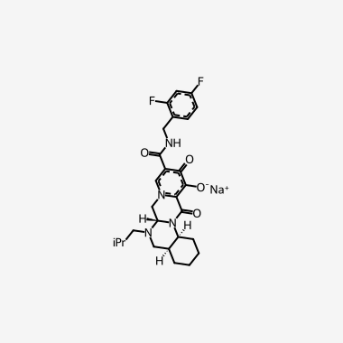 CC(C)CN1C[C@@H]2CCCC[C@@H]2N2C(=O)c3c([O-])c(=O)c(C(=O)NCc4ccc(F)cc4F)cn3C[C@@H]12.[Na+]